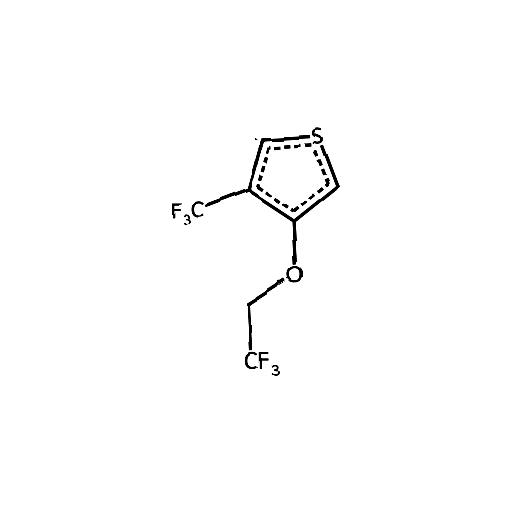 FC(F)(F)COc1cs[c]c1C(F)(F)F